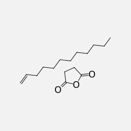 C=CCCCCCCCCCC.O=C1CCC(=O)O1